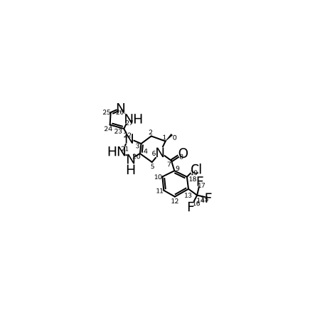 C[C@@H]1CC2=C(CN1C(=O)c1cccc(C(F)(F)F)c1Cl)NNN2c1ccn[nH]1